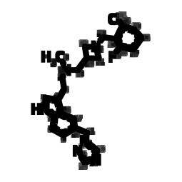 CN(CCc1c[nH]c2ccc(Cn3cncn3)cc12)CC1CN(Cc2c(F)cccc2Cl)C1